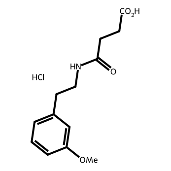 COc1cccc(CCNC(=O)CCC(=O)O)c1.Cl